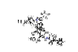 Nc1nc(/C(=N/OC2CCCC2)C(=O)N[C@@H]2C(=O)N3C(C(=O)O)=C(/C=C4\CCN(c5nccs5)C4=O)CS[C@H]23)cs1